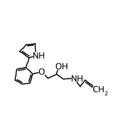 C=CCNCC(O)COc1ccccc1-c1ccc[nH]1